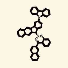 c1ccc2cc(-c3n[n+](C4c5ccc(-n6c7ccccc7c7ccccc76)cc5-c5cc6ccccc6cc54)nc4ccccc34)ccc2c1